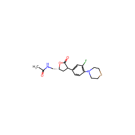 CC(=O)NC[C@H]1CC(c2ccc(N3CCSCC3)c(F)c2)C(=O)O1